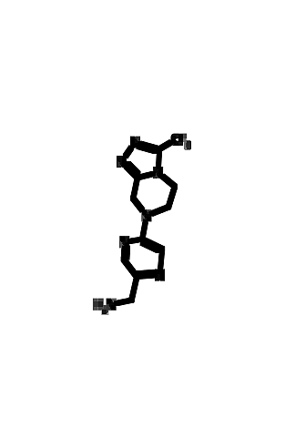 NCc1cnc(N2CCn3c(nnc3C(F)(F)F)C2)cn1